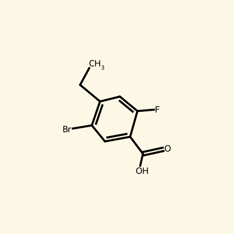 CCc1cc(F)c(C(=O)O)cc1Br